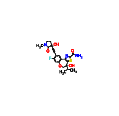 CC(C)C1(O)COc2cc(F)c(C#C[C@]3(O)CCN(C)C3=O)cc2-c2nc(C(N)=O)sc21